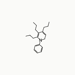 CCCC1=CCN(c2ccccc2)C(CCC)=C1CCC